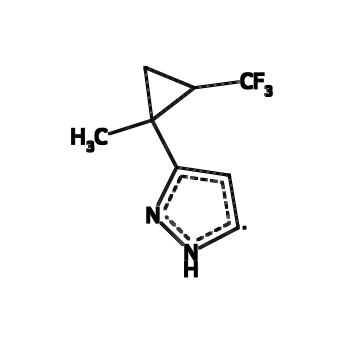 CC1(c2c[c][nH]n2)CC1C(F)(F)F